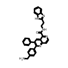 NCc1ccc(-c2nc3ccnc(C(=O)NCCc4nc5ccccc5[nH]4)c3cc2-c2ccccc2)cc1